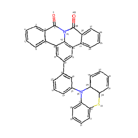 O=c1c2ccccc2c2cc(-c3cccc(N4c5ccccc5SC5C=CC=CC54)c3)cc3c4ccccc4c(=O)n1c23